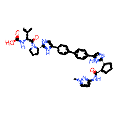 CC(C)[C@H](NC(=O)O)C(=O)N1CCC[C@H]1c1ncc(-c2ccc(-c3ccc(-c4cnc([C@@H]5CCC[C@H]5C(=O)Nc5ccn(C)n5)[nH]4)cc3)cc2)[nH]1